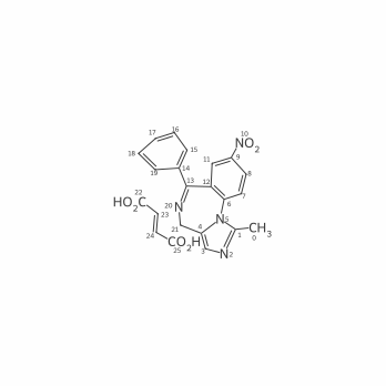 Cc1ncc2n1-c1ccc([N+](=O)[O-])cc1C(c1ccccc1)=NC2.O=C(O)C=CC(=O)O